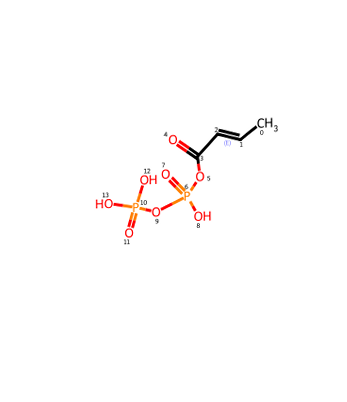 C/C=C/C(=O)OP(=O)(O)OP(=O)(O)O